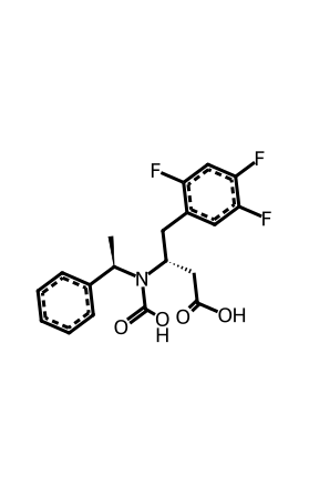 C[C@H](c1ccccc1)N(C(=O)O)[C@@H](CC(=O)O)Cc1cc(F)c(F)cc1F